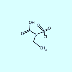 CCN(C(=O)O)S(=O)(=O)Cl